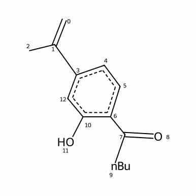 C=C(C)c1ccc(C(=O)CCCC)c(O)c1